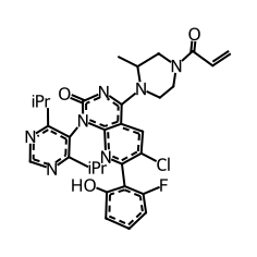 C=CC(=O)N1CCN(c2nc(=O)n(-c3c(C(C)C)ncnc3C(C)C)c3nc(-c4c(O)cccc4F)c(Cl)cc23)C(C)C1